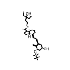 C=C1/C(=C\C=C2/CCC[C@]3(C)C(C(C)SC/C=C/C(O)(CC)CC)=CC[C@@H]23)C[C@@H](O)C[C@@H]1O[Si](C)(C)C(C)(C)C